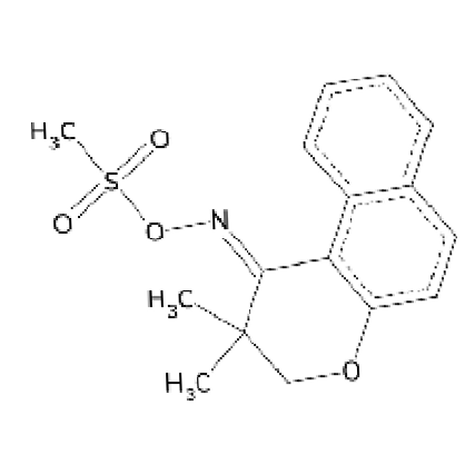 CC1(C)COc2ccc3ccccc3c2C1=NOS(C)(=O)=O